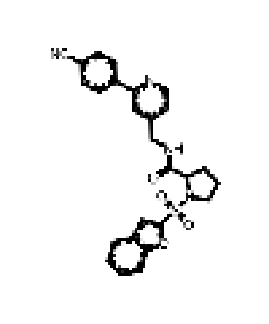 N#Cc1ccc(-c2cc(CNC(=O)C3CCCN3S(=O)(=O)c3cc4ccccc4o3)ccn2)cc1